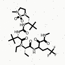 CC[C@@H](C(=O)NC(CCC(F)(F)F)C(=O)C(=O)NC)N(CC)C(=O)[C@@H](NC(=O)N[C@H](CN1CCN(C)S1(=O)=O)C(C)(C)C)C(C)(C)C